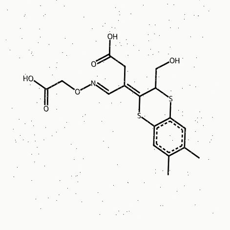 Cc1cc2c(cc1C)SC(CO)/C(=C(/C=N/OCC(=O)O)CC(=O)O)S2